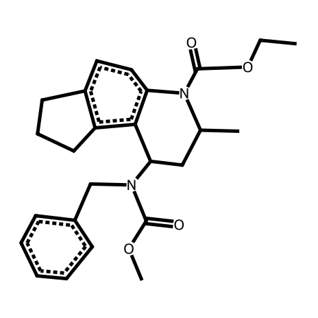 CCOC(=O)N1c2ccc3c(c2C(N(Cc2ccccc2)C(=O)OC)CC1C)CCC3